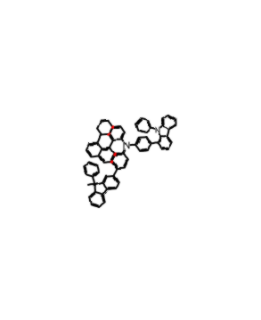 CC1(c2ccccc2)c2ccccc2-c2ccc(-c3ccc(N(c4ccc(-c5cccc6c7ccccc7n(-c7ccccc7)c56)cc4)c4ccccc4-c4cccc5cccc(C6CCCCC6)c45)cc3)cc21